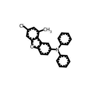 Cc1cc(Cl)cc2oc3ccc(N(c4ccccc4)c4ccccc4)cc3c12